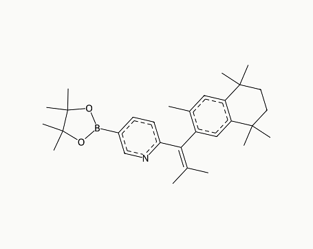 CC(C)=C(c1ccc(B2OC(C)(C)C(C)(C)O2)cn1)c1cc2c(cc1C)C(C)(C)CCC2(C)C